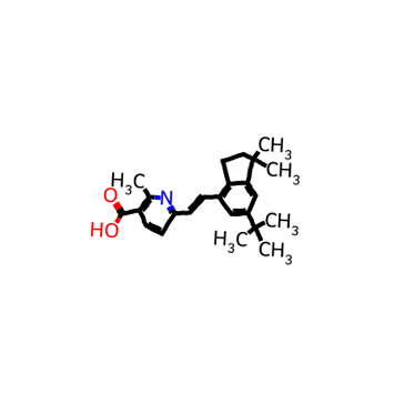 Cc1nc(C=Cc2cc(C(C)(C)C)cc3c2CCC3(C)C)ccc1C(=O)O